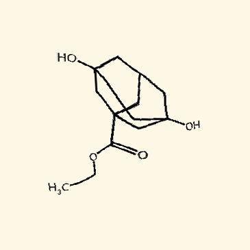 CCOC(=O)C12CC3CC(O)(CC(O)(C3)C1)C2